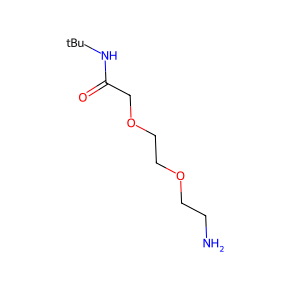 CC(C)(C)NC(=O)COCCOCCN